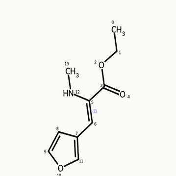 CCOC(=O)/C(=C/c1ccoc1)NC